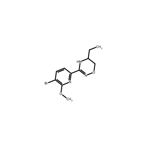 CCC1CON=C(c2ccc(Br)c(OC)n2)N1